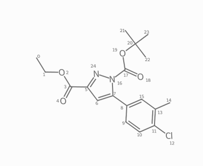 CCOC(=O)c1cc(-c2ccc(Cl)c(C)c2)n(C(=O)OC(C)(C)C)n1